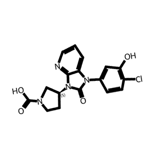 O=C(O)N1CC[C@H](n2c(=O)n(-c3ccc(Cl)c(O)c3)c3cccnc32)C1